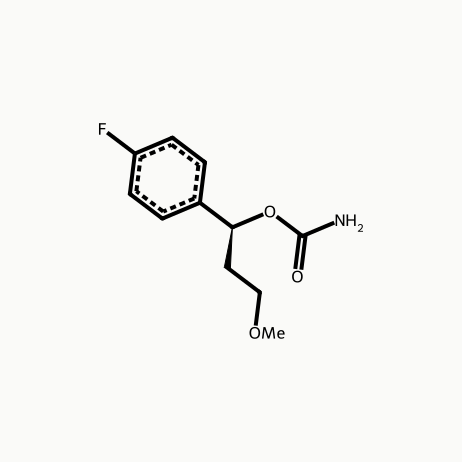 COCC[C@H](OC(N)=O)c1ccc(F)cc1